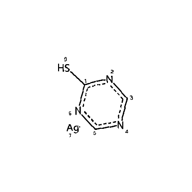 Sc1ncncn1.[Ag]